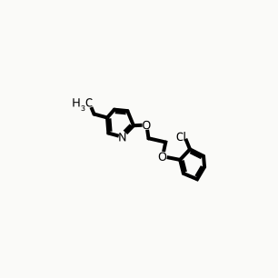 CCc1ccc(OCCOc2ccccc2Cl)nc1